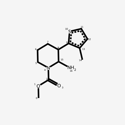 COC(=O)N1CCCC(c2sccc2C)C1N